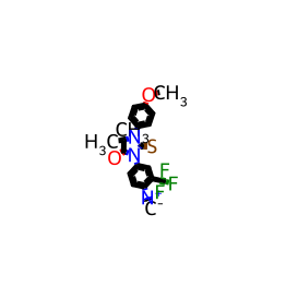 [C-]#[N+]c1ccc(N2C(=O)C(C)(C)N(c3ccc(OC)cc3)C2=S)cc1C(F)(F)F